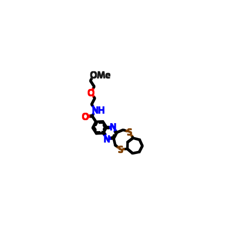 COCCOCCNC(=O)c1ccc2nc3c(nc2c1)CSC1CCCCC(C1)SC3